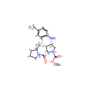 CC(C)(C)OC(=O)N1C[C@@H](Nc2ccc([N+](=O)[O-])cc2F)C[C@H]1C(=O)N1CCCC1C#N